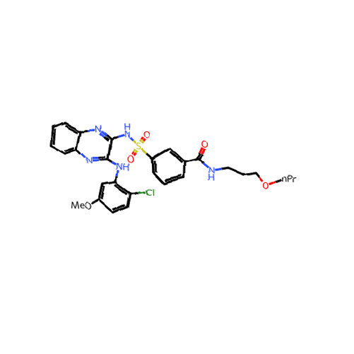 CCCOCCCNC(=O)c1cccc(S(=O)(=O)Nc2nc3ccccc3nc2Nc2cc(OC)ccc2Cl)c1